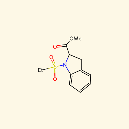 CCS(=O)(=O)N1c2ccccc2CC1C(=O)OC